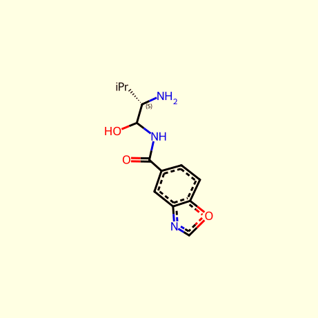 CC(C)[C@H](N)C(O)NC(=O)c1ccc2ocnc2c1